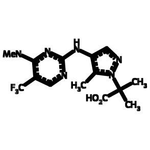 CNc1nc(Nc2cnn(C(C)(C)C(=O)O)c2C)ncc1C(F)(F)F